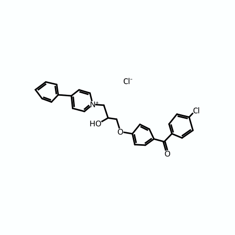 O=C(c1ccc(Cl)cc1)c1ccc(OCC(O)C[n+]2ccc(-c3ccccc3)cc2)cc1.[Cl-]